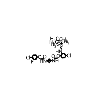 CC(C)(C)[Si](C)(C)OCCNc1cc(Cl)ccc1OCC(=O)NC12CC(NC(=O)COc3ccc(Cl)c(F)c3)(C1)C2